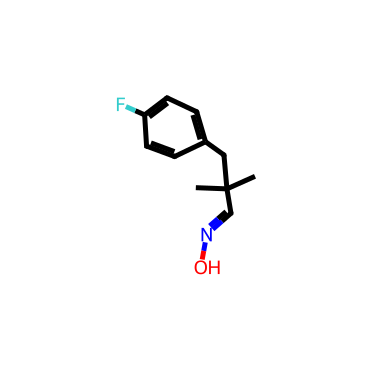 CC(C)(C=NO)Cc1ccc(F)cc1